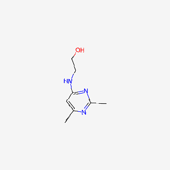 Cc1cc(NCCO)nc(C)n1